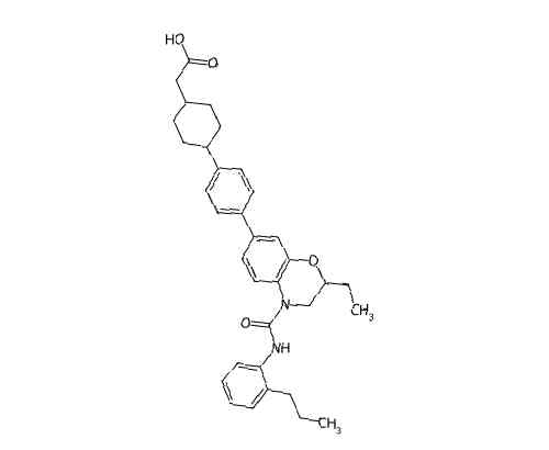 CCCc1ccccc1NC(=O)N1CC(CC)Oc2cc(-c3ccc(C4CCC(CC(=O)O)CC4)cc3)ccc21